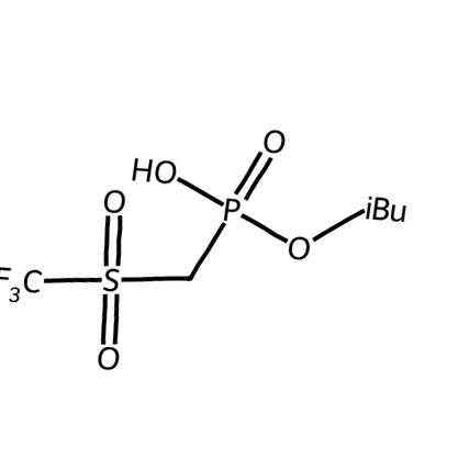 CCC(C)OP(=O)(O)CS(=O)(=O)C(F)(F)F